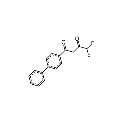 O=C(CC(=O)C(F)F)c1ccc(-c2ccccc2)cc1